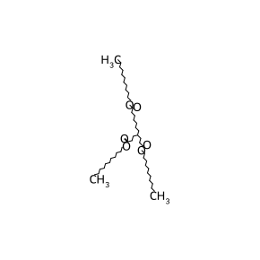 CCCCCCCCCCCCOC(=O)CCCCCCC(CCC(=O)OCCCCCCCCCCCC)CCC(=O)OCCCCCCCCCCCC